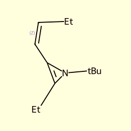 CC/C=C\C1=C(CC)N1C(C)(C)C